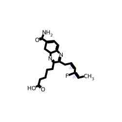 C/C=C(F)\C=C/CC1=NC2=CC=C(C(N)=O)CC2N=C1CCCCC(=O)O